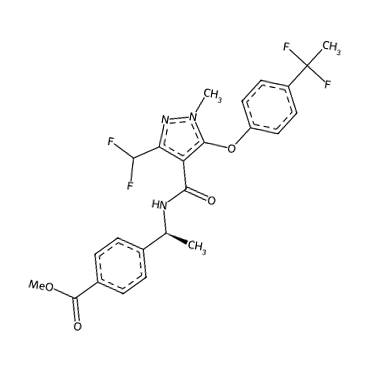 COC(=O)c1ccc([C@H](C)NC(=O)c2c(C(F)F)nn(C)c2Oc2ccc(C(C)(F)F)cc2)cc1